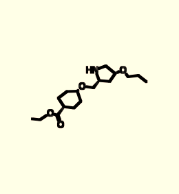 CCCO[C@@H]1CN[C@H](CO[C@H]2CC[C@H](C(=O)OCC)CC2)C1